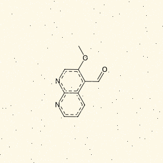 COc1cnc2ncccc2c1C=O